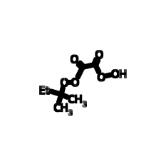 CCC(C)(C)OOC(=O)C(=O)OO